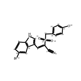 N#C/C(=C/c1c[nH]c2ccc(Br)cc12)S(=O)(=O)Cc1ccc(Cl)cc1